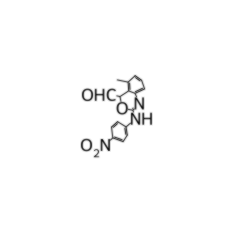 Cc1cccc2c1C(C=O)OC(Nc1ccc([N+](=O)[O-])cc1)=N2